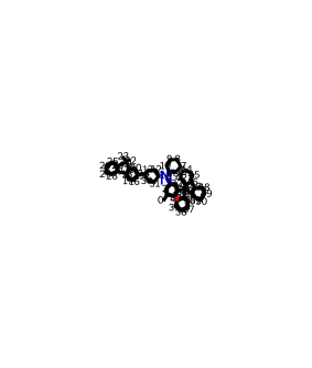 Cc1cc(N(C2=CCCC=C2)C2=CCC(c3ccc4c(c3)C(C)(C)c3ccccc3-4)C=C2)cc(C2(c3ccccc3)C3=CCCC=C3c3ccccc32)c1